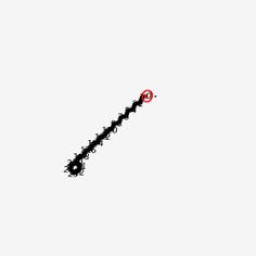 [O]CCCCCCCCCCCCCCCCCCCc1ccccc1